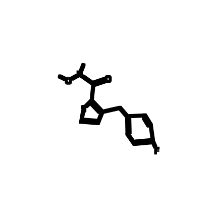 CON(C)C(=O)c1sccc1Cc1ccc(F)cc1